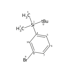 CC(C)(C)[Si](C)(C)c1cccc(Br)c1